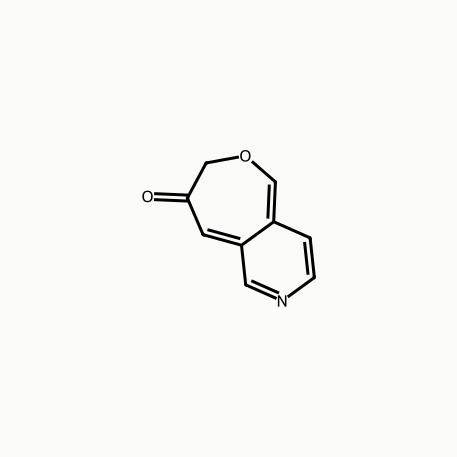 O=C1C=c2cnccc2=COC1